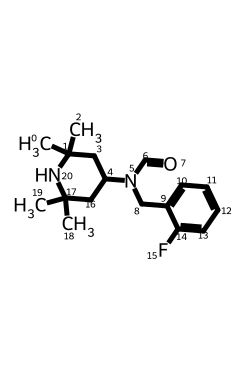 CC1(C)CC(N(C=O)Cc2ccccc2F)CC(C)(C)N1